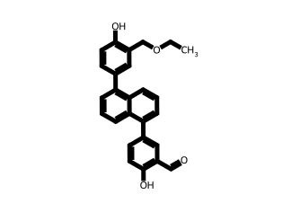 CCOCc1cc(-c2cccc3c(-c4ccc(O)c(C=O)c4)cccc23)ccc1O